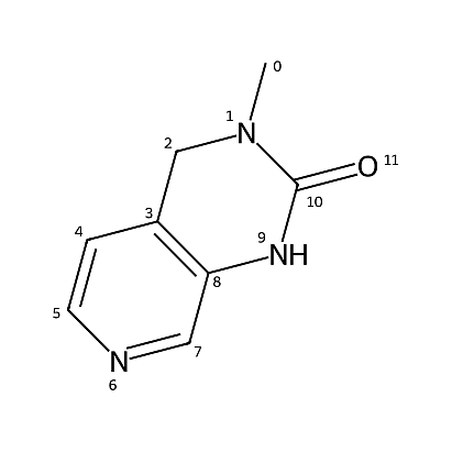 CN1Cc2ccncc2NC1=O